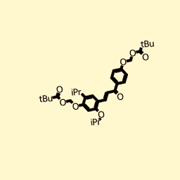 CC(C)Oc1cc(OCOC(=O)C(C)(C)C)c(C(C)C)cc1C=CC(=O)c1ccc(OCOC(=O)C(C)(C)C)cc1